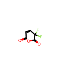 O=C1C=CC(F)(F)C(=O)O1